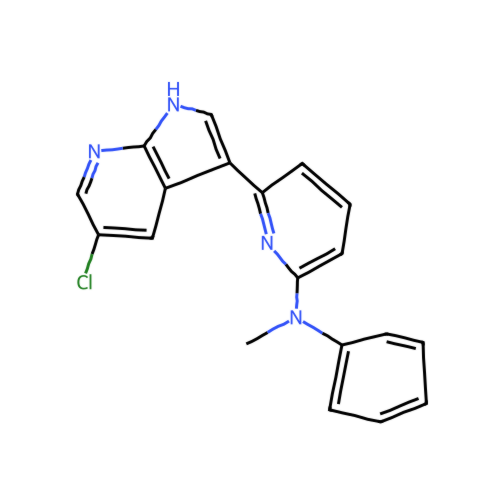 CN(c1ccccc1)c1cccc(-c2c[nH]c3ncc(Cl)cc23)n1